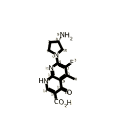 Cc1c(F)c(N2CC[C@H](N)C2)nc2[nH]cc(C(=O)O)c(=O)c12